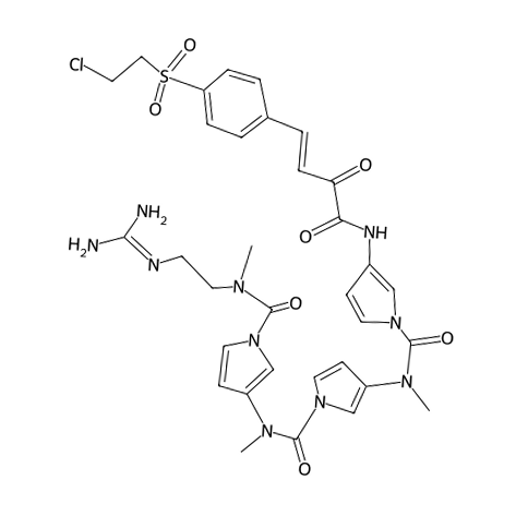 CN(CCN=C(N)N)C(=O)n1ccc(N(C)C(=O)n2ccc(N(C)C(=O)n3ccc(NC(=O)C(=O)/C=C/c4ccc(S(=O)(=O)CCCl)cc4)c3)c2)c1